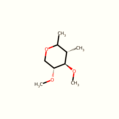 CO[C@H]1[C@H](OC)COC(C)[C@@H]1C